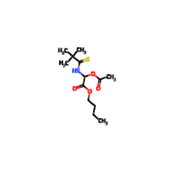 CCCCOC(=O)C(NC(=S)C(C)(C)C)OC(C)=O